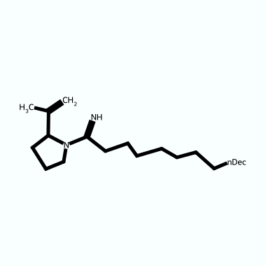 C=C(C)C1CCCN1C(=N)CCCCCCCCCCCCCCCCC